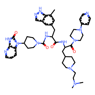 Cc1cc(CC(NC(=O)N2CCC(n3c(=O)[nH]c4ncccc43)CC2)C(=O)NC(CC2CCN(CCN(C)C)CC2)C(=O)N2CCN(c3ccncc3)CC2)cc2cn[nH]c12